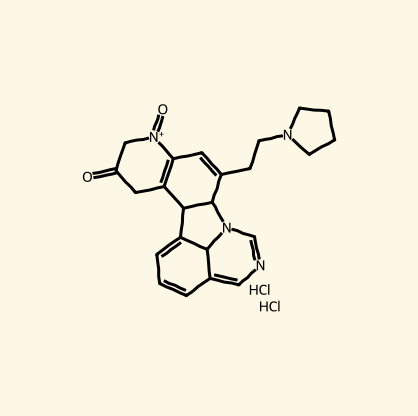 Cl.Cl.O=C1CC2=C(C=C(CCN3CCCC3)C3C2C2=CC=CC4=CN=CN3C42)[N+](=O)C1